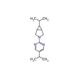 CC(C)c1cnc(N2CC3C(C2)C3C(C)C)nc1